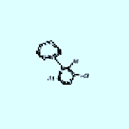 CCc1cccc(-c2ccccc2)c1CC.[LiH]